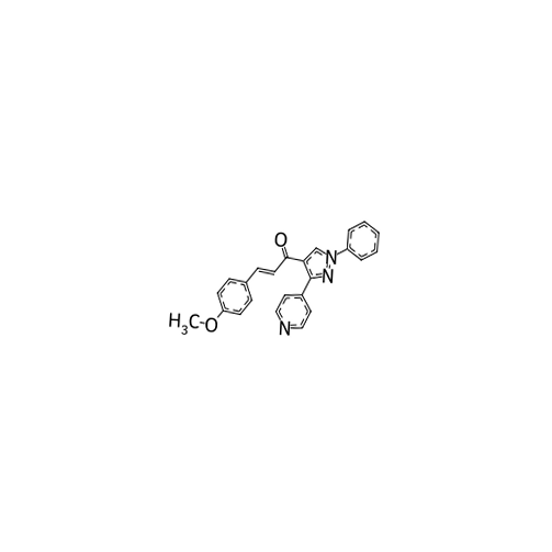 COc1ccc(C=CC(=O)c2cn(-c3ccccc3)nc2-c2ccncc2)cc1